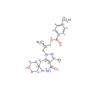 CCc1nn(C[C@@H](C)COC(=O)c2ccc(C(=O)O)cc2)c2c1C(=O)NCC1(CCOCC1)C2